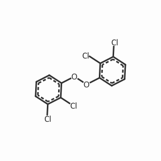 Clc1cccc(OOc2cccc(Cl)c2Cl)c1Cl